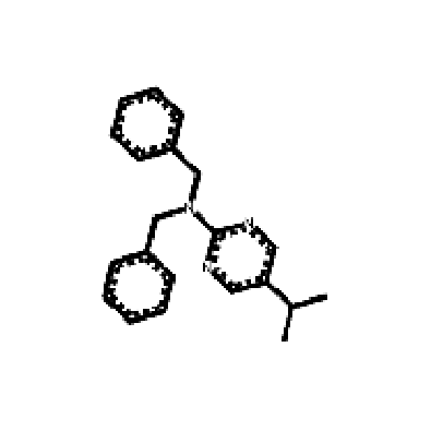 CC(C)c1cnc(N(Cc2ccccc2)Cc2ccccc2)nc1